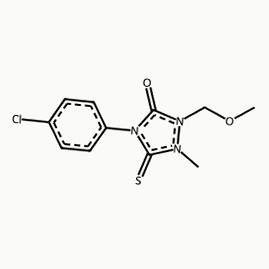 COCn1c(=O)n(-c2ccc(Cl)cc2)c(=S)n1C